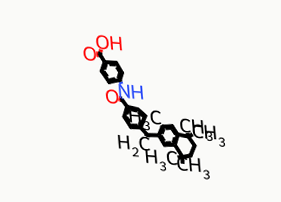 C=C(c1ccc(C(=O)Nc2ccc(C(=O)O)cc2)cc1)c1cc2c(cc1C)C(C)(C)CCC2(C)C